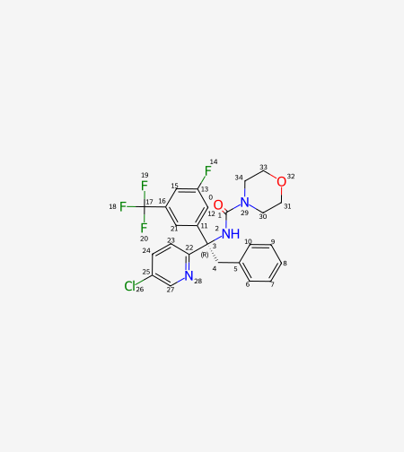 O=C(N[C@](Cc1ccccc1)(c1cc(F)cc(C(F)(F)F)c1)c1ccc(Cl)cn1)N1CCOCC1